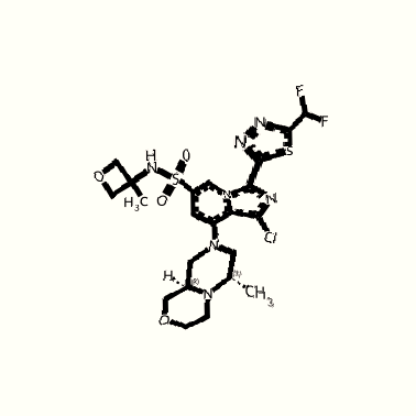 C[C@H]1CN(c2cc(S(=O)(=O)NC3(C)COC3)cn3c(-c4nnc(C(F)F)s4)nc(Cl)c23)C[C@@H]2COCCN21